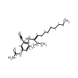 CCCCCCCCC=C(Nc1ccc(OC(N)=O)cc1C#N)N(C)C